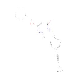 Cc1nc(OCC2COCCO2)cc(=O)n1Cc1ccc(C#CC2CC2)cc1